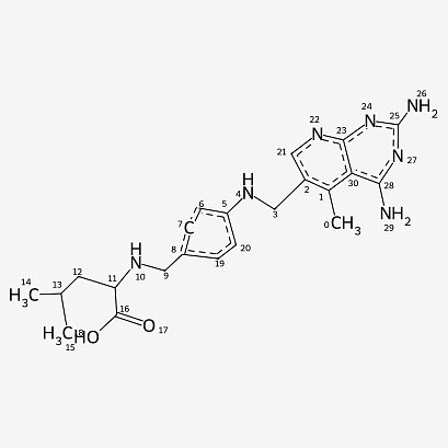 Cc1c(CNc2ccc(CNC(CC(C)C)C(=O)O)cc2)cnc2nc(N)nc(N)c12